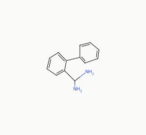 NC(N)c1ccccc1-c1ccccc1